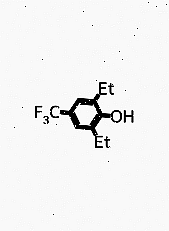 CCc1cc(C(F)(F)F)cc(CC)c1O